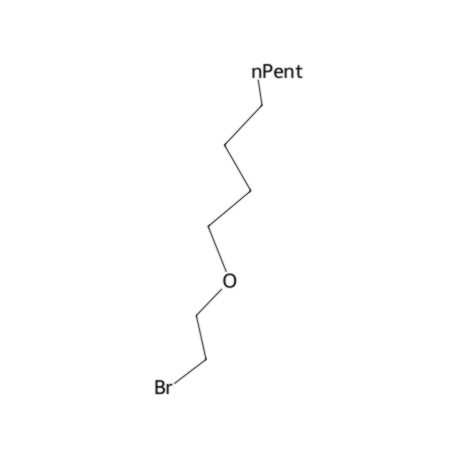 CCCCCCCCCOCCBr